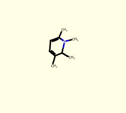 CC1=CC=C(C)N(C)C1C